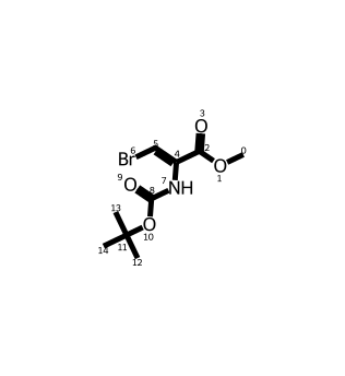 COC(=O)C(=CBr)NC(=O)OC(C)(C)C